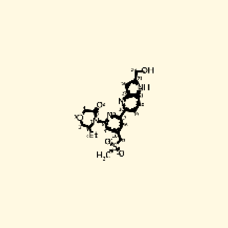 CC[C@H]1COCC(=O)N1c1cc(CS(C)(=O)=O)cc(-c2ccc3[nH]c(CO)cc3n2)n1